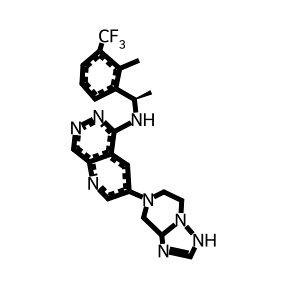 Cc1c([C@@H](C)Nc2nncc3ncc(N4CCN5NC=NC5C4)cc23)cccc1C(F)(F)F